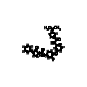 CN(C)[C@@H]1CCN(C(=O)Nc2cc(Oc3ccc(NC(=O)N4CCN(c5ccccc5)C4=O)cc3F)ccn2)C1